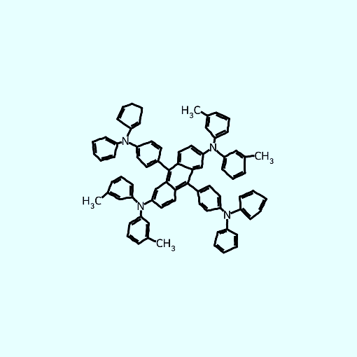 Cc1cccc(N(c2cccc(C)c2)c2ccc3c(-c4ccc(N(c5ccccc5)c5ccccc5)cc4)c4cc(N(c5cccc(C)c5)c5cccc(C)c5)ccc4c(-c4ccc(N(C5=CCCC=C5)c5ccccc5)cc4)c3c2)c1